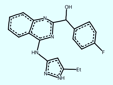 CCc1cc(Nc2nc(C(O)c3ccc(F)cc3)nc3ccccc23)n[nH]1